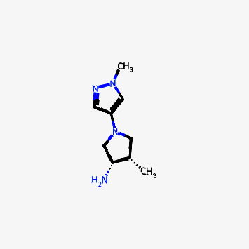 C[C@H]1CN(c2cnn(C)c2)C[C@H]1N